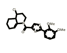 COc1cccc(-c2nc(C(=O)N3CCC(Cl)C4CCCC=C43)cs2)c1OC